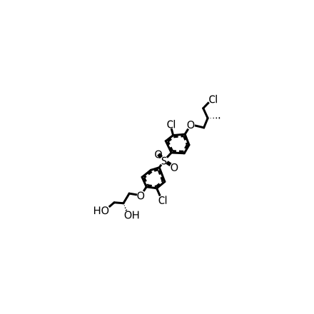 C[C@@H](CCl)COc1ccc(S(=O)(=O)c2ccc(OC[C@H](O)CO)c(Cl)c2)cc1Cl